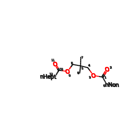 CCCCCCCCCC(=O)OCC(C)(C)COC(=O)CCCCCCC